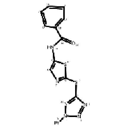 CC(C)n1nnc(Sc2ncc(NC(=O)c3ccccc3)s2)n1